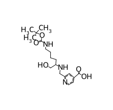 CC(C)(C)OC(=O)NCCCCC(CO)NCc1cc(C(=O)O)ccn1